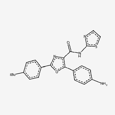 CC(C)(C)c1ccc(-c2nc(C(=O)Nc3nccs3)c(-c3ccc(N)cc3)o2)cc1